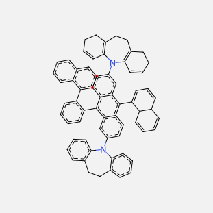 C1=CC2C=CC=C(c3c4cc(N5C6=C(CCC=C6)CCC6=C5C=CCC6)ccc4c(-c4ccccc4-c4cccc5ccccc45)c4cc(N5c6ccccc6CCc6ccccc65)ccc34)C2C=C1